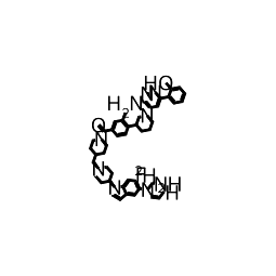 [2H]C1C=CN(c2cc3ccn(C4CCN(CC5CCN(C(=O)c6ccc(C7CCCN(c8cc(-c9ccccc9O)nnc8N)C7)c(C)c6)CC5)CC4)c3cc2F)C([2H])N1